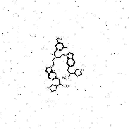 COc1cc(F)cc(CN(CCn2ccc3ccc(CC(C(=O)O)C4CCNC4)cc32)CCn2ccc3ccc(CC(C(=O)O)C4CCNC4)cc32)c1